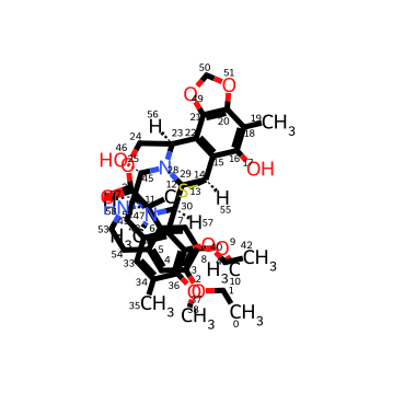 CCOc1cc2c(cc1OC)[C@@]1(CS[C@@H]3c4c(O)c(C)c5c(c4[C@H](COC1=O)N1C3[C@H]3c4c(cc(C)c(OC)c4OCC)C[C@@H]([C@@H]1O)N3C)OCO5)NCC2